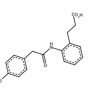 O=C(O)CCc1ccccc1NC(=O)Cc1ccc(O)cc1